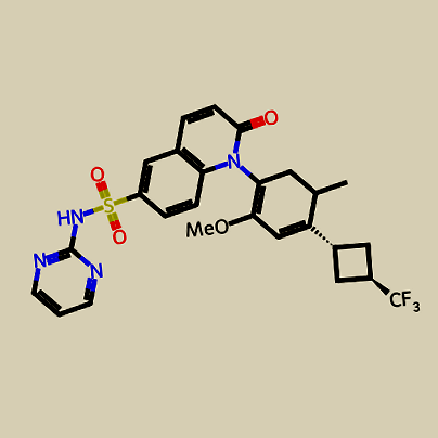 COC1=C(n2c(=O)ccc3cc(S(=O)(=O)Nc4ncccn4)ccc32)CC(C)C([C@H]2C[C@H](C(F)(F)F)C2)=C1